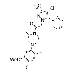 COc1cc(N2CCN(C(=O)Cn3nc(C(F)(F)F)c(Cl)c3-c3ccccn3)C(C)C2)c(F)cc1Cl